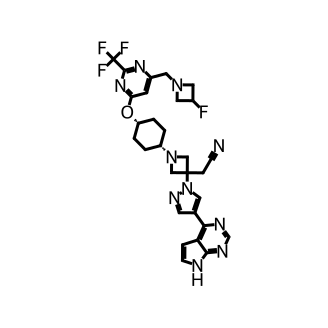 N#CCC1(n2cc(-c3ncnc4[nH]ccc34)cn2)CN([C@H]2CC[C@@H](Oc3cc(CN4CC(F)C4)nc(C(F)(F)F)n3)CC2)C1